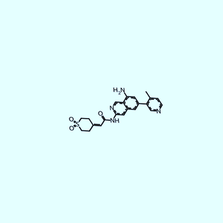 Cc1ccncc1-c1cc(N)c2cnc(NC(=O)C=C3CCS(=O)(=O)CC3)cc2c1